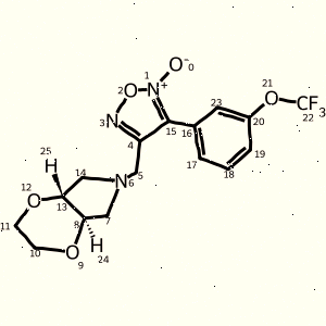 [O-][n+]1onc(CN2C[C@H]3OCCO[C@@H]3C2)c1-c1cccc(OC(F)(F)F)c1